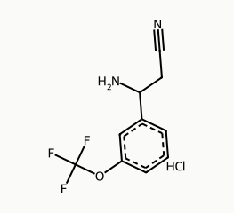 Cl.N#CCC(N)c1cccc(OC(F)(F)F)c1